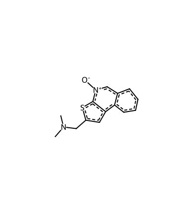 CN(C)Cc1cc2c3ccccc3c[n+]([O-])c2s1